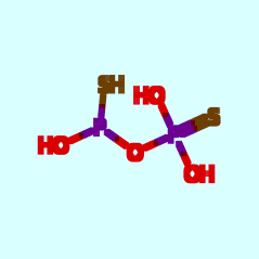 OP(S)OP(O)(O)=S